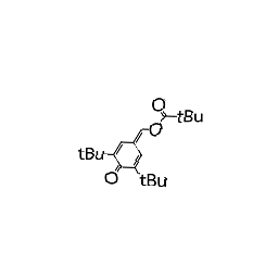 CC(C)(C)C(=O)OC=C1C=C(C(C)(C)C)C(=O)C(C(C)(C)C)=C1